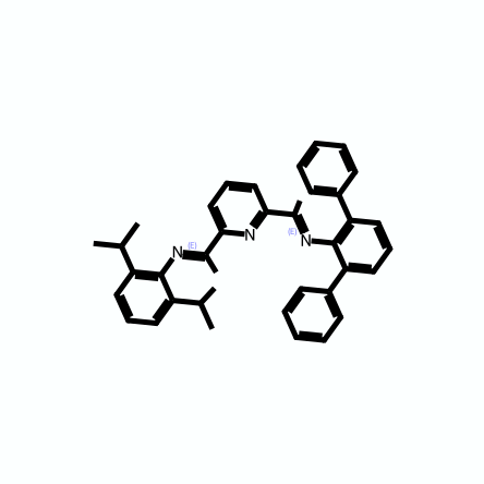 C/C(=N\c1c(-c2ccccc2)cccc1-c1ccccc1)c1cccc(/C(C)=N/c2c(C(C)C)cccc2C(C)C)n1